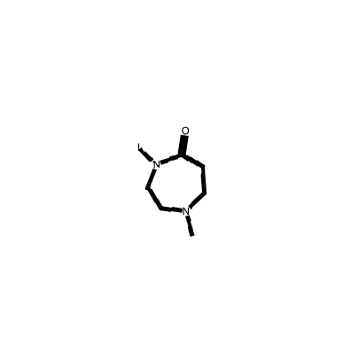 CN1CCC(=O)N(I)CC1